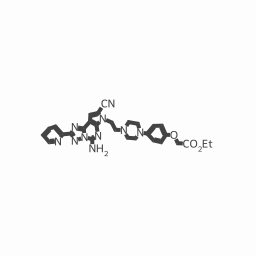 CCOC(=O)COc1ccc(N2CCN(CCn3c(C#N)cc4c3nc(N)n3nc(-c5ccccn5)nc43)CC2)cc1